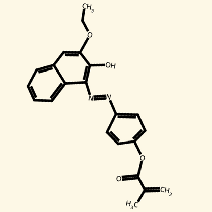 C=C(C)C(=O)Oc1ccc(N=Nc2c(O)c(OCC)cc3ccccc23)cc1